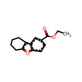 CCOC(=O)c1ccc2oc3c(c2c1)CCCC3